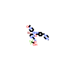 CC(=O)N1CCC(N(NC(=O)c2ccc(CN3CCN(C)CC3)cc2)c2nc(C#N)ncc2Br)CC1.O=C(O)C(F)(F)F